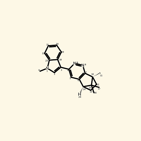 Cn1cc(-c2cc3c(nn2)[C@@]2(C)CC[C@@H]3C2(C)C)c2ccccc21